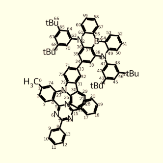 Cc1ccc(-c2nc(-c3ccccc3)nc(-c3ccccc3)n2)c(-n2c3ccccc3c3cc(-c4cc5c6c(c4)N(c4cc(C(C)(C)C)cc(C(C)(C)C)c4)c4ccccc4B6c4ccccc4N5c4cc(C(C)(C)C)cc(C(C)(C)C)c4)ccc32)c1